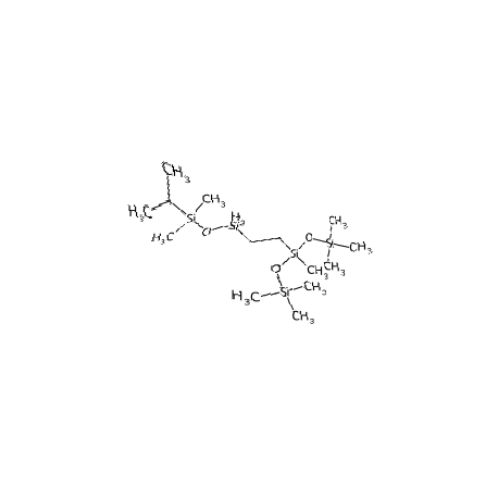 C[C](C)[Si](C)(C)O[SiH2]CC[Si](C)(O[Si](C)(C)C)O[Si](C)(C)C